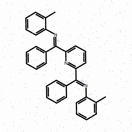 Cc1ccccc1/N=C(\c1ccccc1)c1cccc(/C(=N/c2ccccc2C)c2ccccc2)n1